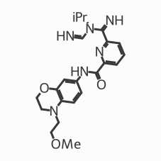 COCCN1CCOc2cc(NC(=O)c3cccc(C(=N)N(C=N)C(C)C)n3)ccc21